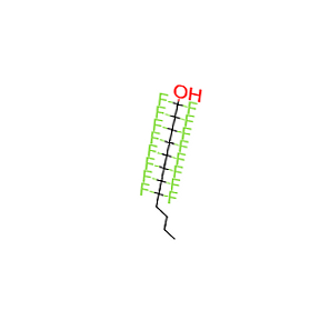 CCCCC(F)(F)C(F)(F)C(F)(F)C(F)(F)C(F)(F)C(F)(F)C(F)(F)C(O)(F)F